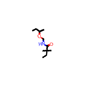 CCC(C)OCNC(=O)C(C)(C)CC